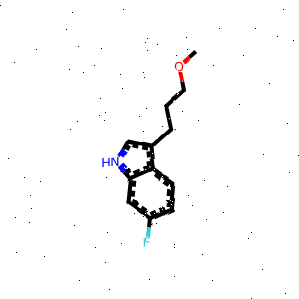 COCC[CH]c1c[nH]c2cc(F)ccc12